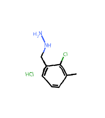 Cc1cccc(CNN)c1Cl.Cl